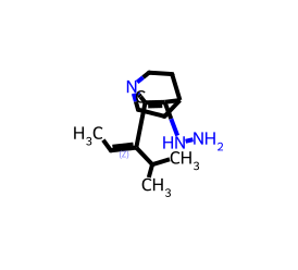 C/C=C(\C1=C(NN)C2CCN(CC2)C1)C(C)C